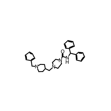 O=C(NC(c1ccccc1)c1ccccc1)N1CCN(CC2CCN(Cc3ccccc3)CC2)CC1